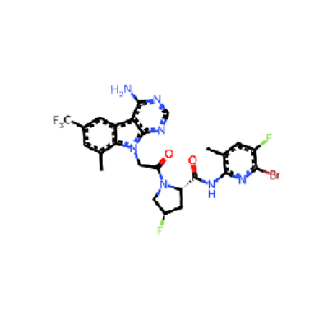 Cc1cc(F)c(Br)nc1NC(=O)[C@@H]1C[C@@H](F)CN1C(=O)Cn1c2ncnc(N)c2c2cc(C(F)(F)F)cc(C)c21